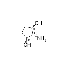 N[C@H]1[C@H](O)CC[C@@H]1O